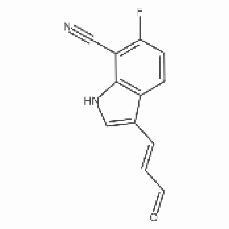 N#Cc1c(F)ccc2c(/C=C/C=O)c[nH]c12